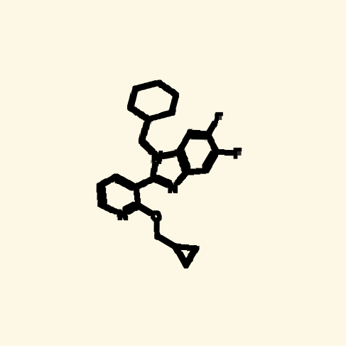 Fc1cc2nc(-c3cccnc3OCC3CC3)n(CC3CCCCC3)c2cc1F